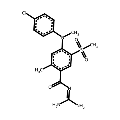 Cc1cc(N(C)c2ccc(Cl)cc2)c(S(C)(=O)=O)cc1C(=O)N=C(N)N